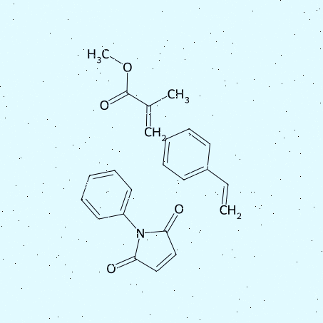 C=C(C)C(=O)OC.C=Cc1ccccc1.O=C1C=CC(=O)N1c1ccccc1